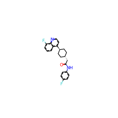 O=C(C[C@H]1CC[C@H](c2ccnc3c(F)cccc32)CC1)Nc1ccc(F)cc1